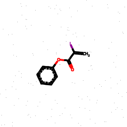 C=C(I)C(=O)Oc1ccccc1